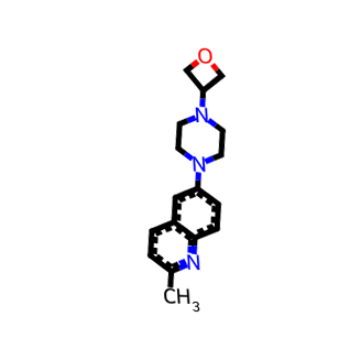 Cc1ccc2cc(N3CCN(C4COC4)CC3)ccc2n1